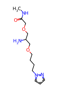 CNC(=O)COCC(N)COCCCCn1cccn1